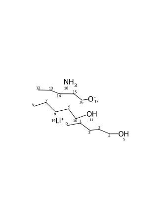 CCCCCO.CCCCCO.CCCCC[O-].N.[Li+]